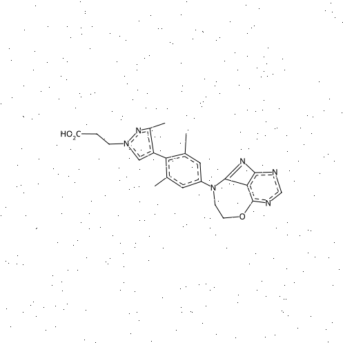 Cc1cc(N2CCOc3ncnc4c3C2=N4)cc(C)c1-c1cn(CCC(=O)O)nc1C